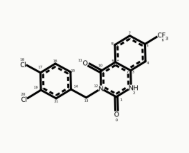 O=c1[nH]c2cc(C(F)(F)F)ccc2c(=O)n1Cc1ccc(Cl)c(Cl)c1